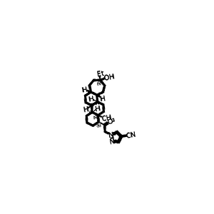 CC[C@]1(O)CC[C@H]2CC[C@@H]3[C@H](CC[C@]4(C)[C@@H](C(=O)Cn5cc(C#N)cn5)CCC[C@@H]34)[C@H]2CC1